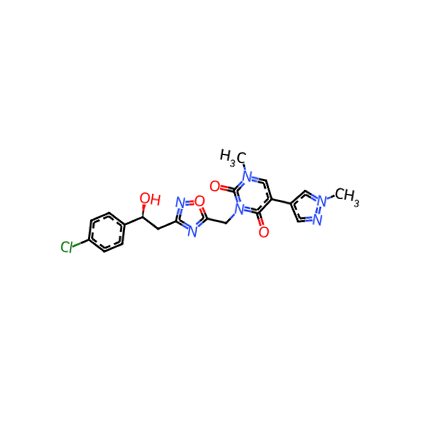 Cn1cc(-c2cn(C)c(=O)n(Cc3nc(C[C@H](O)c4ccc(Cl)cc4)no3)c2=O)cn1